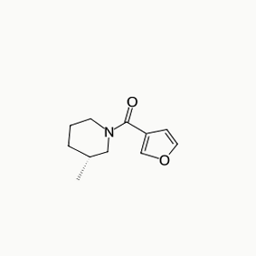 C[C@@H]1CCCN(C(=O)c2ccoc2)C1